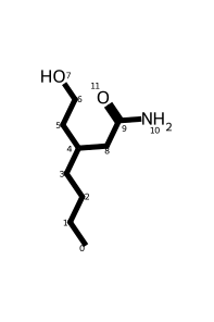 CCCCC(CCO)CC(N)=O